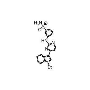 CCn1cc(-c2ccnc(Nc3cccc(S(N)(=O)=O)c3)n2)c2ccccc21